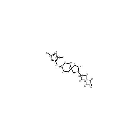 Cc1cc(SN2CCC3(CCC(N4CC5(COC5)C4)C3)CC2)n(C)n1